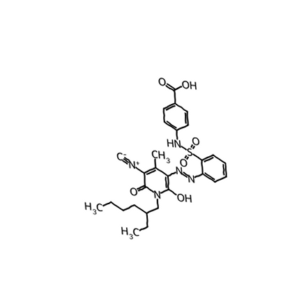 [C-]#[N+]c1c(C)c(/N=N/c2ccccc2S(=O)(=O)Nc2ccc(C(=O)O)cc2)c(O)n(CC(CC)CCCC)c1=O